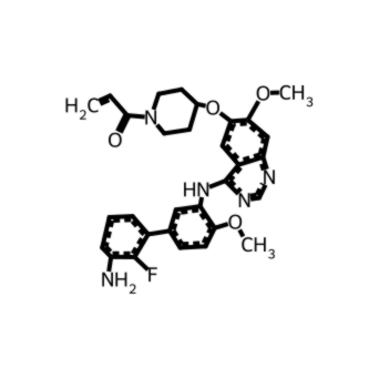 C=CC(=O)N1CCC(Oc2cc3c(Nc4cc(-c5cccc(N)c5F)ccc4OC)ncnc3cc2OC)CC1